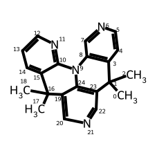 CC1(C)c2ccncc2N2c3ncccc3C(C)(C)c3cncc1c32